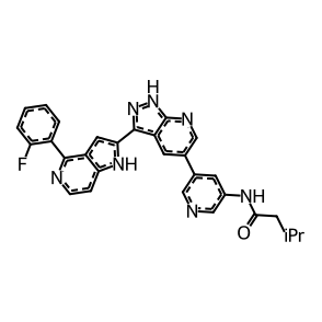 CC(C)CC(=O)Nc1cncc(-c2cnc3[nH]nc(-c4cc5c(-c6ccccc6F)nccc5[nH]4)c3c2)c1